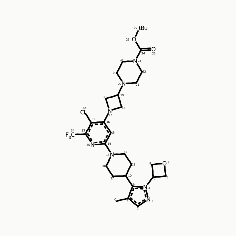 Cc1cnn(C2COC2)c1C1CCN(c2cc(N3CC(N4CCN(C(=O)OC(C)(C)C)CC4)C3)c(Cl)c(C(F)(F)F)n2)CC1